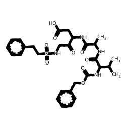 CC(NC(=O)C(NC(=O)OCc1ccccc1)C(C)C)C(=O)NC(CC(=O)O)C(=O)CNS(=O)(=O)CCc1ccccc1